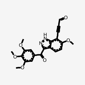 COc1cc(C(=O)c2n[nH]c3c(C#CC=O)c(OC)ccc23)cc(OC)c1OC